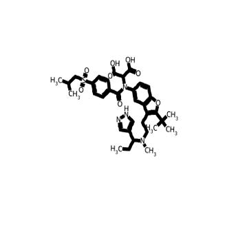 CCC(c1cn[nH]c1)N(C)CCc1c(C(C)(C)C)oc2ccc(N(C(=O)c3ccc(S(=O)(=O)CC(C)C)cc3)C(C(=O)O)C(=O)O)cc12